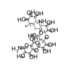 CC1=C[C@@H](N[C@H]2C(C)O[C@@H](O[C@H]3C(CO)O[C@@H](O[C@H]4C(CO)OC(N)C(O)[C@@H]4O)C(O)[C@@H]3O)C(O)[C@@H]2O)C(O)[C@H](O)[C@H]1O